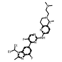 CCC(CC)n1c(C)nc2c(F)cc(-c3nc(Nc4ccc5c(n4)CCN(CCN(C)C)[C@H]5C)ncc3F)cc21